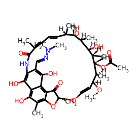 CO[C@H]1/C=C/O[C@@]2(C)Oc3c(C)c(O)c4c(O)c(c(C=NN(C)C)c(O)c4c3C2=O)NC(=O)/C(C)=C\C=C\[C@H](C)[C@H](O)[C@@H](C)[C@@H](O)[C@H](C)[C@H](OC(C)=O)[C@H]1C